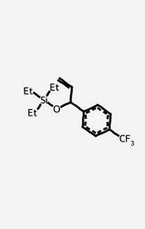 C=CC(O[Si](CC)(CC)CC)c1ccc(C(F)(F)F)cc1